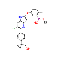 CCOP(O)c1cc(Oc2cc3nc(-c4ccc(C5(CO)CC5)cc4)c(Cl)cc3[nH]2)ccc1C